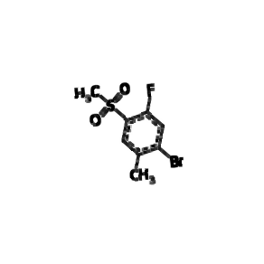 Cc1cc(S(C)(=O)=O)c(F)cc1Br